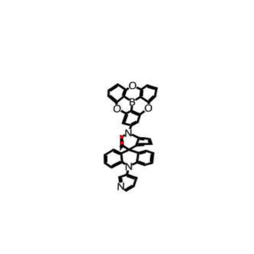 c1cncc(N2c3ccccc3C3(c4ccccc42)c2ccccc2N(c2cc4c5c(c2)Oc2cccc6c2B5c2c(cccc2O4)O6)c2ccccc23)c1